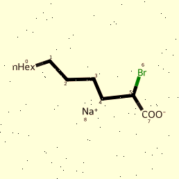 CCCCCCCCCCC(Br)C(=O)[O-].[Na+]